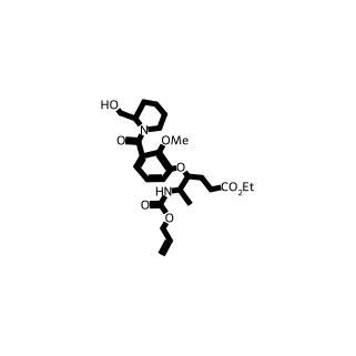 C=CCOC(=O)NC(C)C(CCC(=O)OCC)Oc1cccc(C(=O)N2CCCCC2CO)c1OC